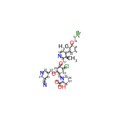 Cc1c(OCCCBr)cccc1-c1ccnc(COc2cc(OCc3cncc(C#N)c3)c(CN3CCCC[C@H]3C(=O)O)cc2Cl)c1C